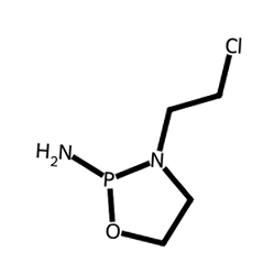 NP1OCCN1CCCl